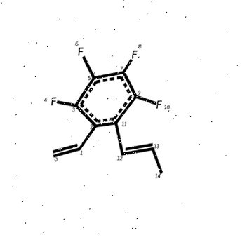 C=Cc1c(F)c(F)c(F)c(F)c1/C=C/C